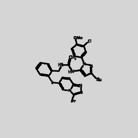 C=C(NCc1ccccc1Sc1ccc2nnc(C(C)C)n2c1)Nc1cc(C(C)(C)C)nn1-c1ccc(OC)c(Cl)c1